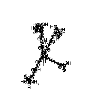 COC[C@@H]1C[C@@H](O)CN1C(=O)CCCCCCCCCCC(=O)NC(COCCC(=O)NCCCNC(=O)CCCCOC1OC(CO)C(O)C(O)C1N)(COCCC(=O)NCCCNC(=O)CCCCOC1OC(CO)C(O)C(O)C1NC(C)=O)COCCC(=O)NCCCNC(=O)CCCCOC1OC(CO)C(O)C(O)C1NC(C)=O